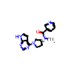 CN(C(=O)c1cccnc1)[C@@H]1CCN(c2ncnc3[nH]ccc23)C1